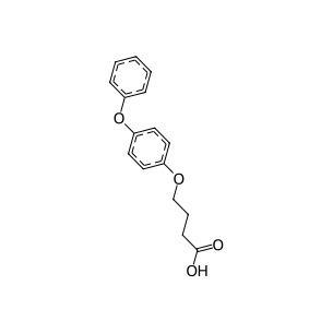 O=C(O)CCCOc1ccc(Oc2ccccc2)cc1